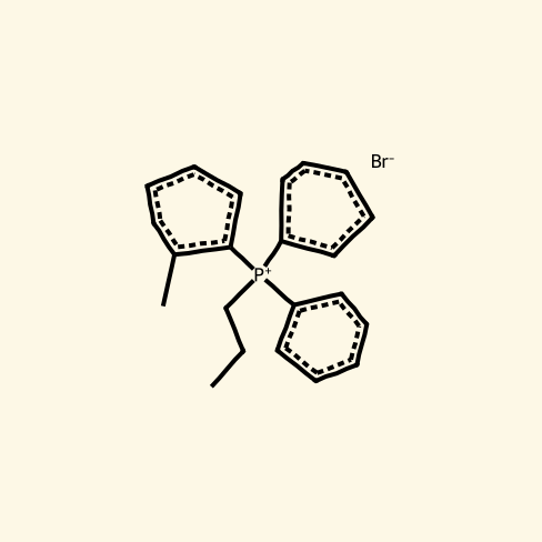 CCC[P+](c1ccccc1)(c1ccccc1)c1ccccc1C.[Br-]